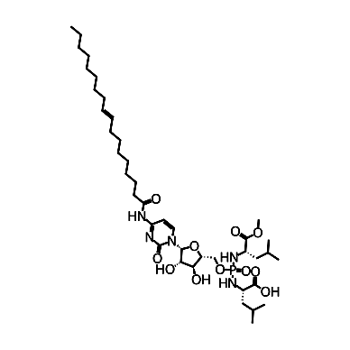 CCCCCCCCC=CCCCCCCCC(=O)Nc1ccn([C@@H]2O[C@H](COP(=O)(N[C@@H](CC(C)C)C(=O)O)N[C@@H](CC(C)C)C(=O)OC)[C@@H](O)[C@@H]2O)c(=O)n1